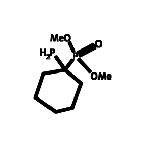 COP(=O)(OC)C1(P)CCCCC1